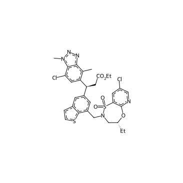 CCOC(=O)C[C@@H](c1cc(CN2C[C@@H](CC)Oc3ncc(Cl)cc3S2(=O)=O)c2sccc2c1)c1cc(Cl)c2c(nnn2C)c1C